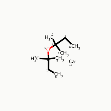 CCC(C)(C)OC(C)(C)CC.[Ca]